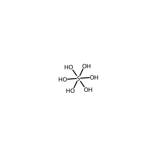 OS(O)(O)(O)(O)O